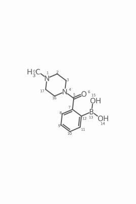 CN1CCN(C(=O)c2ccccc2B(O)O)CC1